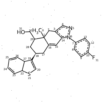 CC12Cc3cnn(-c4ccc(F)cc4)c3C=C1C[C@@H](C1=CSC3C=CC=CC13)CC2CO